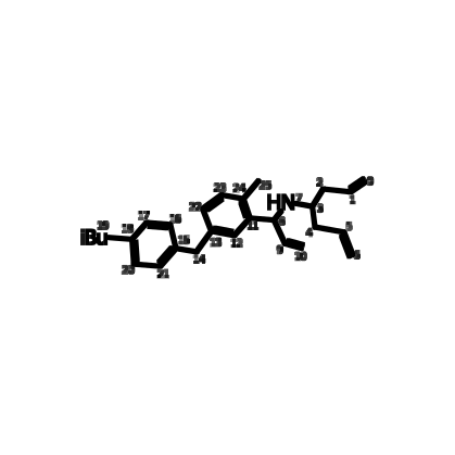 C=CCC(CC=C)NC(C=C)c1cc(Cc2ccc(C(C)CC)cc2)ccc1C